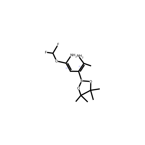 C/C(N)=C(/C=C(\N)OC(F)F)B1OC(C)(C)C(C)(C)O1